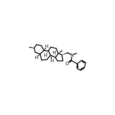 C[C@H]1CC[C@H]2[C@H](CC[C@@H]3[C@@H]2CC[C@]2(C)[C@@H](CN(C)C(=O)c4ccccc4)CC[C@@H]32)C1